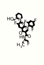 CC[C@@H](CF)NC(=O)c1cn(-c2c(F)cc(F)cc2F)c2nc(N3CCCC[C@H]3CO)c(F)cc2c1=O